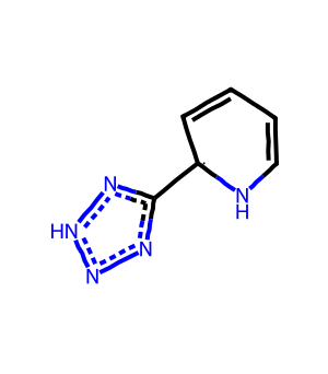 C1=CN[C](c2nn[nH]n2)C=C1